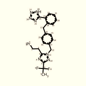 CC(C)CCc1nc(C(C)(F)F)nn1Cc1ccc(Cc2ccccc2-c2nnn[nH]2)cc1